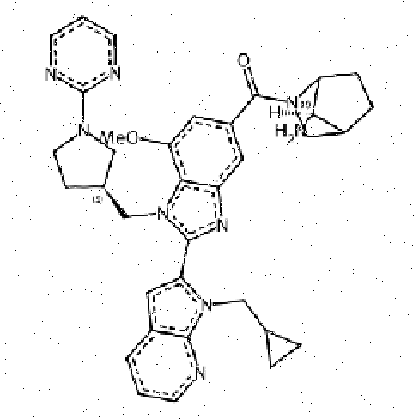 COc1cc(C(=O)N2CC3CCC2[C@@H]3N)cc2nc(-c3cc4cccnc4n3CC3CC3)n(C[C@H]3CCN(c4ncccn4)C3)c12